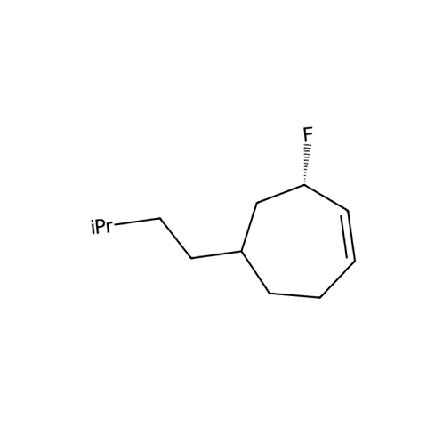 CC(C)CCC1CCC=C[C@@H](F)C1